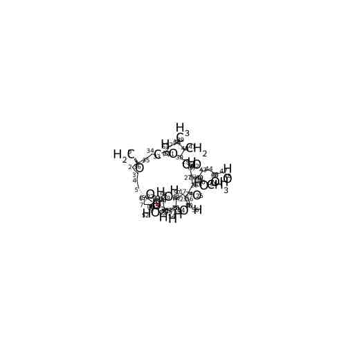 C=C1CC2CC[C@@]34C[C@H]5O[C@H]6[C@@H](O3)[C@H]3O[C@H](CC[C@@H]3O[C@H]6[C@H]5O4)CC(=O)C[C@H]3[C@H](CC4O[C@@H](CCC1O2)C[C@@H](C)C4=C)OC(C[C@H](O)CO)[C@@H]3OC